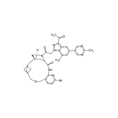 CC(=O)c1nn(CC(=O)N2C3C[C@]4(C[C@@H]24)CC24CC(COCc5ccc(Br)nc5NC3=O)(C2)C4)c2c(C)cc(-c3cnc(C)nc3)cc12